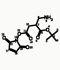 CC(C)(C)OC(=O)C(CN)CC(=O)ON1C(=O)C=CC1=O